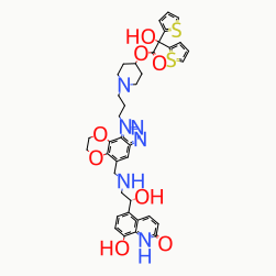 O=C(OC1CCN(CCCn2nnc3cc(CNC[C@H](O)c4ccc(O)c5[nH]c(=O)ccc45)c4c(c32)OCCO4)CC1)C(O)(c1cccs1)c1cccs1